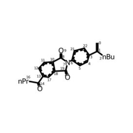 C=C(CCCC)c1ccc(N2C(=O)c3ccc(C(=O)CCC)cc3C2=O)cc1